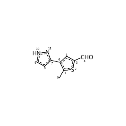 Cc1sc(C=O)cc1-c1cc[nH]n1